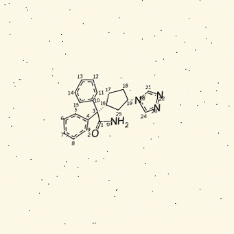 NC(=O)C(c1ccccc1)(c1ccccc1)[C@@H]1CC[C@H](n2cnnc2)C1